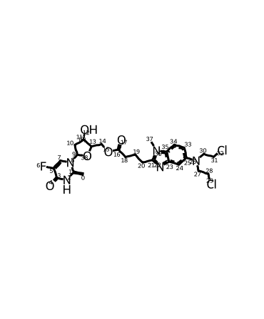 C=C1NC(=O)C(F)=CN1C1C[C@@H](O)C(COC(=O)CCCc2nc3cc(N(CCCl)CCCl)ccc3n2C)O1